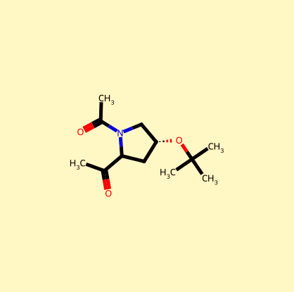 CC(=O)C1C[C@@H](OC(C)(C)C)CN1C(C)=O